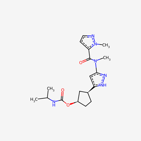 CC(C)NC(=O)O[C@@H]1CC[C@H](c2cc(N(C)C(=O)c3ccnn3C)n[nH]2)C1